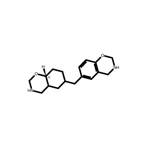 c1cc2c(cc1CC1CC[C@H]3OCNCC3C1)CNCO2